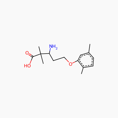 Cc1ccc(C)c(OCCC(N)C(C)(C)C(=O)O)c1